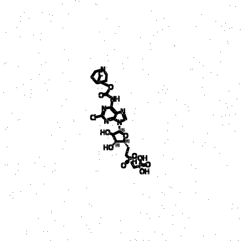 O=C(Nc1nc(Cl)nc2c1ncn2[C@@H]1O[C@H](CCP(=O)(O)CP(=O)(O)O)[C@H](O)C1O)OC1CN2CCC1CC2